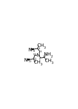 CC(N)CN(CC(C)C#N)CC(C)C#N